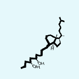 CCC[C@@H](O)C[C@H](O)C/C=C/C=C1\CCC[C@]2(C)[C@@H]([C@@H](C)CCCC(C)C)CC[C@@H]12